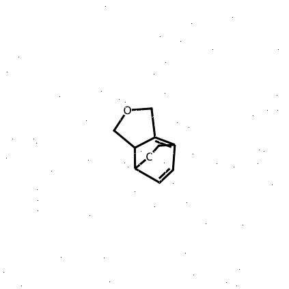 C1=CC2CCC1=C1COCC12